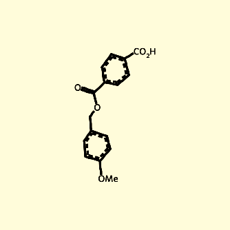 COc1ccc(COC(=O)c2ccc(C(=O)O)cc2)cc1